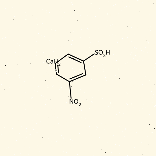 O=[N+]([O-])c1cccc(S(=O)(=O)O)c1.[CaH2]